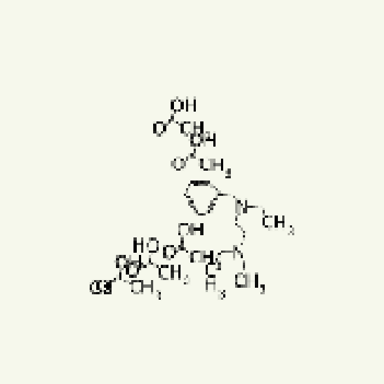 CC(=O)O.CC(=O)O.CC(=O)O.CC(=O)O.CC(=O)O.CCN(CC)CCN(CC)Cc1ccccc1.[Gd]